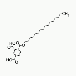 CCCCCCCCCCCCCCCCOC(=O)c1ccc(C(=O)O)cc1C(=O)O